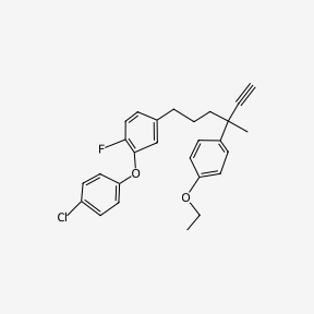 C#CC(C)(CCCc1ccc(F)c(Oc2ccc(Cl)cc2)c1)c1ccc(OCC)cc1